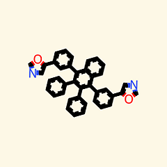 c1ccc(-c2c(-c3ccccc3)c(-c3cccc(-c4cnco4)c3)c3ccccc3c2-c2cccc(-c3cnco3)c2)cc1